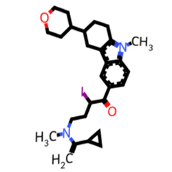 C=C(C1CC1)N(C)CCC(I)C(=O)c1ccc2c(c1)c1c(n2C)CCC(C2CCOCC2)C1